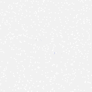 C=CC(=O)NCC(=O)NCC